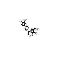 COc1cc(N2CCN(C(C=O)n3nc(CO)c(Cl)c3C)CC2)ccc1Cl